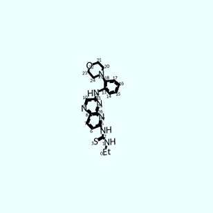 CCNC(=S)Nc1ccc2ncc(Nc3ccccc3N3CCOCC3)nc2n1